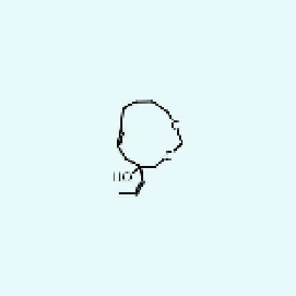 C/C=C\C1(O)C/C=C/CCCCCCCC1